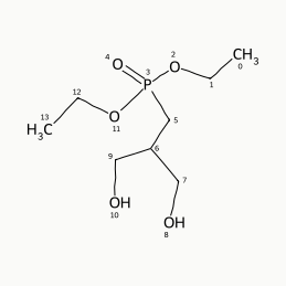 CCOP(=O)(CC(CO)CO)OCC